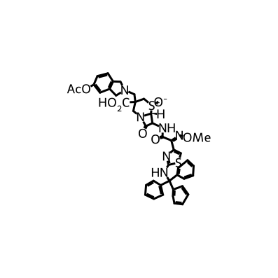 CON=C(C(=O)NC1C(=O)N2CC(CN3Cc4ccc(OC(C)=O)cc4C3)(C(=O)O)C[S+]([O-])[C@H]12)c1csc(NC(c2ccccc2)(c2ccccc2)c2ccccc2)n1